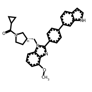 COc1cccc2c1nc(-c1ccc(-c3ccc4cc[nH]c4c3)cc1)n2C[C@@H]1CCN(C(=O)C2CC2)C1